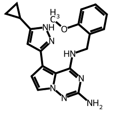 COc1ccccc1CNc1nc(N)nn2ccc(-c3cc(C4CC4)[nH]n3)c12